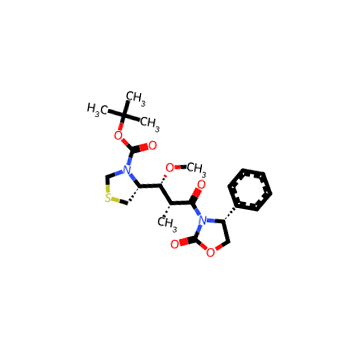 CO[C@H]([C@@H](C)C(=O)N1C(=O)OC[C@H]1c1ccccc1)[C@@H]1CSCN1C(=O)OC(C)(C)C